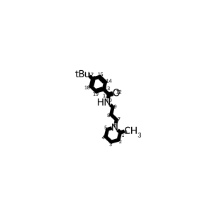 CC1CCCCN1CCCNC(=O)c1ccc(C(C)(C)C)cc1